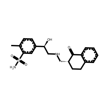 Cc1ccc([C@@H](O)CNC[C@H]2CCc3ccccc3C2=O)cc1S(N)(=O)=O